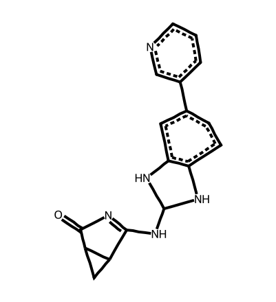 O=C1N=C(NC2Nc3ccc(-c4cccnc4)cc3N2)C2CC12